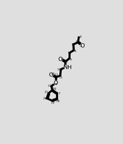 CC(=O)CCCCC(=O)NCCC(=O)OCc1ccccc1